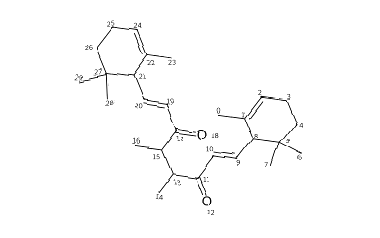 CC1=CCCC(C)(C)C1/C=C/C(=O)C(C)C(C)C(=O)/C=C/C1C(C)=CCCC1(C)C